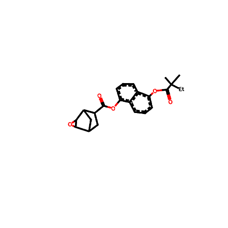 CCC(C)(C)C(=O)Oc1cccc2c(OC(=O)C3CC4CC3C3OC43)cccc12